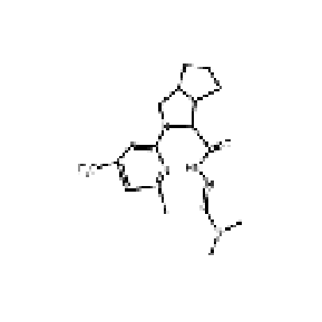 Cc1cc(C(F)(F)F)cc(N2CC3CCCC3C2C(=O)NN=CN(C)C)n1